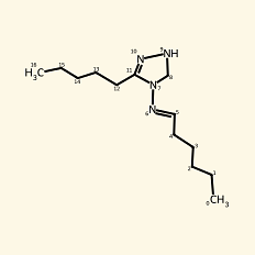 CCCCCC=NN1CNN=C1CCCCC